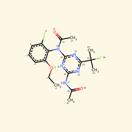 CCOc1cccc(F)c1N(C(C)=O)c1nc(NC(C)=O)nc(C(C)(C)F)n1